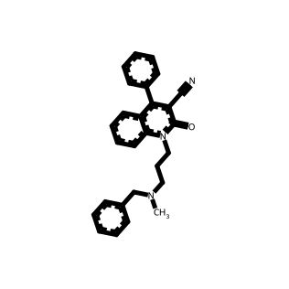 CN(CCCn1c(=O)c(C#N)c(-c2ccccc2)c2ccccc21)Cc1ccccc1